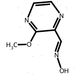 COc1nccnc1C=NO